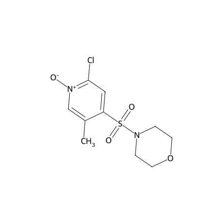 Cc1c[n+]([O-])c(Cl)cc1S(=O)(=O)N1CCOCC1